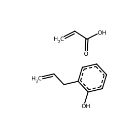 C=CC(=O)O.C=CCc1ccccc1O